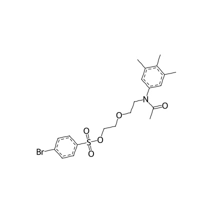 CC(=O)N(CCOCCOS(=O)(=O)c1ccc(Br)cc1)c1cc(C)c(C)c(C)c1